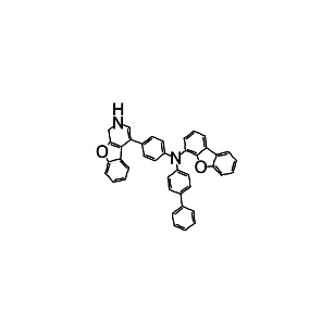 C1=C(c2ccc(N(c3ccc(-c4ccccc4)cc3)c3cccc4c3oc3ccccc34)cc2)c2c(oc3ccccc23)CN1